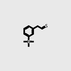 C[B-](C)(C)c1cccc(CC=S)c1